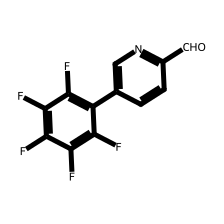 O=Cc1ccc(-c2c(F)c(F)c(F)c(F)c2F)cn1